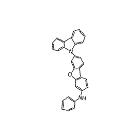 c1ccc(Nc2ccc3c(c2)oc2cc(-n4c5ccccc5c5ccccc54)ccc23)cc1